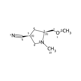 COC[C@@H]1C[C@H](C#N)CN1C